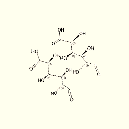 O=C[C@H](O)[C@H](O)[C@@H](O)[C@H](O)C(=O)O.O=C[C@H](O)[C@H](O)[C@@H](O)[C@H](O)C(=O)O